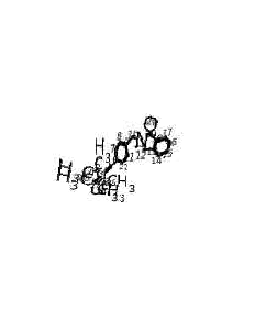 CC(C)[Si](C#Cc1ccc(CN2Cc3ccccc3C2=O)cc1)(C(C)C)C(C)C